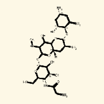 CNC1C(O[C@H]2OC(CO)[C@@H](NC(=O)CN)[C@H](O)C2O)O[C@H]2CC(N)[C@@H](O[C@@H]3C(N)C[C@@H](N)C[C@H]3O)OC2C1O